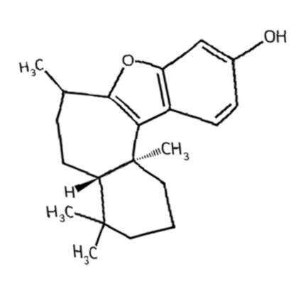 CC1CC[C@H]2C(C)(C)CCC[C@]2(C)c2c1oc1cc(O)ccc21